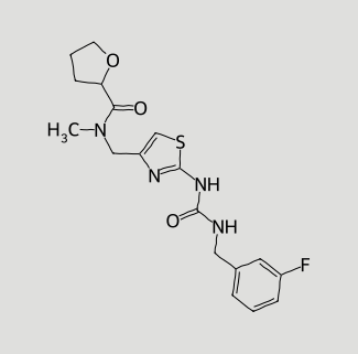 CN(Cc1csc(NC(=O)NCc2cccc(F)c2)n1)C(=O)C1CCCO1